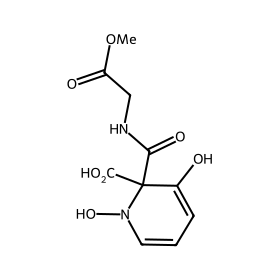 COC(=O)CNC(=O)C1(C(=O)O)C(O)=CC=CN1O